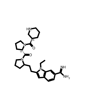 CCn1c(CCC2CCCN2C(=O)[C@@H]2CCCN2C(=O)[C@@H]2CCCNC2)cc2ccc(C(=N)N)cc21